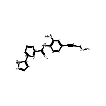 COc1cc(C#CCOO)ccc1NC(=O)c1cccc(-c2ccn[nH]2)n1